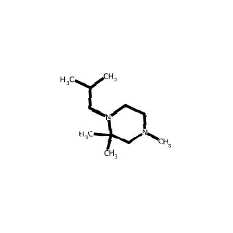 CC(C)CN1CCN(C)CC1(C)C